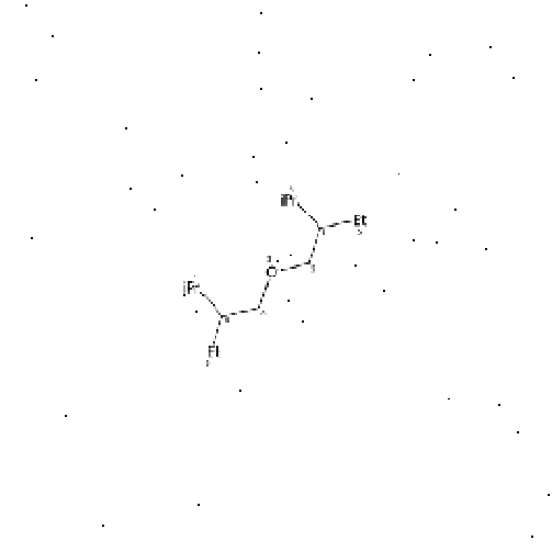 CCC(COCC(CC)C(C)C)C(C)C